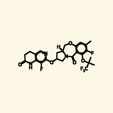 Cc1cc2c(c(OC(C)(C)C(F)(F)F)c1F)C(=O)N1C[C@@H](Oc3ncc4c(c3F)NC(=O)CC4)C[C@@H]1CO2